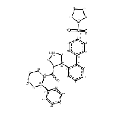 O=C(C1CNC[C@H]1c1ccccc1-c1ccc(S(=O)(=O)N2CCCC2)cc1)N1CCOC[C@@H]1c1ccccc1